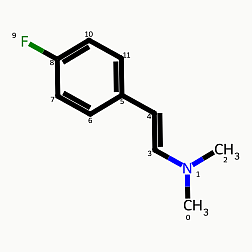 CN(C)C=Cc1ccc(F)cc1